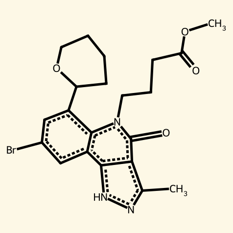 COC(=O)CCCn1c(=O)c2c(C)n[nH]c2c2cc(Br)cc(C3CCCCO3)c21